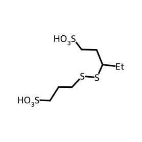 CCC(CCS(=O)(=O)O)SSCCCS(=O)(=O)O